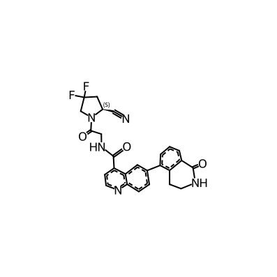 N#C[C@@H]1CC(F)(F)CN1C(=O)CNC(=O)c1ccnc2ccc(-c3cccc4c3CCNC4=O)cc12